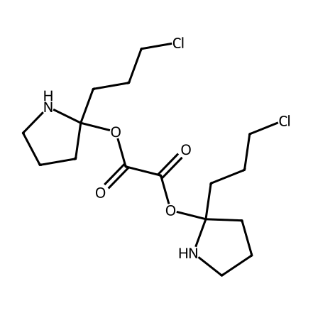 O=C(OC1(CCCCl)CCCN1)C(=O)OC1(CCCCl)CCCN1